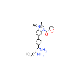 CC(=O)N1c2ccc(-c3ccc(C(N)CC(N)C(=O)O)cc3)cc2N(C(=O)c2ccco2)C[C@@H]1C